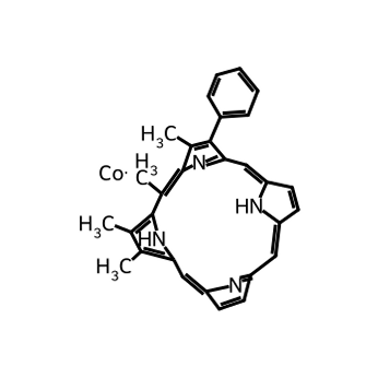 CC1=C(c2ccccc2)c2cc3ccc(cc4nc(cc5[nH]c(c(C)c1n2)c(C)c5C)C=C4)[nH]3.[Co]